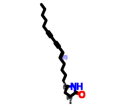 CCCCCC#CC#C/C=C/CCCC[C@H]1C[C@@H](C)C(=O)N1